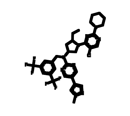 CCC1CC(N(Cc2cc(C(F)(F)F)cc(C(F)(F)F)c2)c2ncc(-c3cnn(C)c3)cn2)CN1c1nc(N2CCCCC2)ncc1Cl